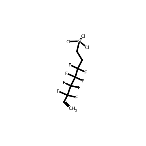 C=CC(F)(F)C(F)(F)C(F)(F)C(F)(F)CC[Si](Cl)(Cl)Cl